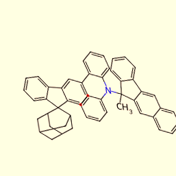 CC1(N(c2ccccc2)c2ccccc2-c2ccc3c(c2)-c2ccccc2C32C3CC4CC(C3)CC2C4)c2ccccc2-c2cc3ccccc3cc21